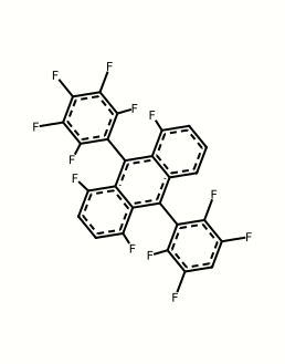 Fc1cc(F)c(F)c(-c2c3cccc(F)c3c(-c3c(F)c(F)c(F)c(F)c3F)c3c(F)ccc(F)c23)c1F